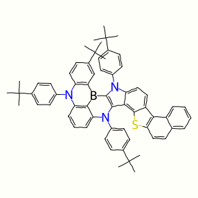 CC(C)(C)c1ccc(N2c3ccc(C(C)(C)C)cc3B3c4c2cccc4N(c2ccc(C(C)(C)C)cc2)c2c3n(-c3ccc(C(C)(C)C)cc3)c3ccc4c(sc5ccc6ccccc6c54)c23)cc1